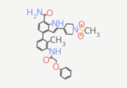 Cc1c(NC(=O)COc2ccccc2)cccc1-c1ccc(C(N)=O)c2[nH]c(C3=CCN(S(C)(=O)=O)CC3)cc12